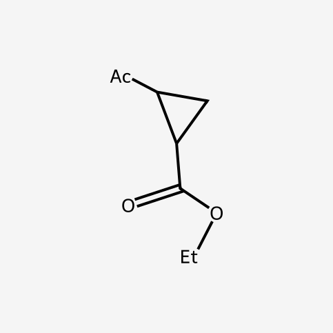 CCOC(=O)C1CC1C(C)=O